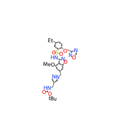 CCc1ccc(OCc2ncon2)c(S(=O)(=O)Nc2noc3cc(Cn4cc(CNC(=O)OC(C)(C)C)cn4)cc(OC)c23)c1